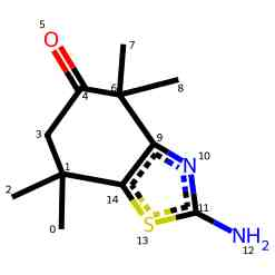 CC1(C)CC(=O)C(C)(C)c2nc(N)sc21